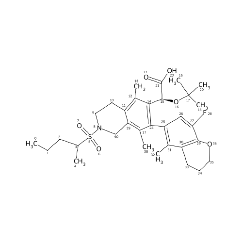 CCCC(C)S(=O)(=O)N1CCc2c(C)c([C@H](OC(C)(C)C)C(=O)O)c(-c3cc(F)c4c(c3C)CCCO4)c(C)c2C1